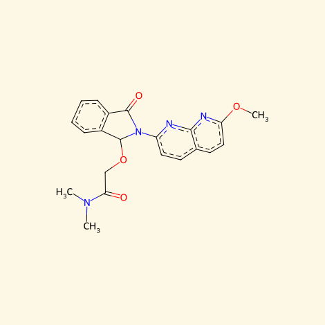 COc1ccc2ccc(N3C(=O)c4ccccc4C3OCC(=O)N(C)C)nc2n1